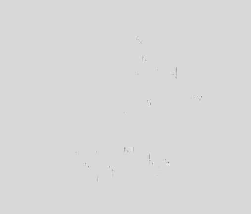 COC(=O)c1c(C)[nH]c2c(OC(=O)N3CCN(C)CC3)cc3c(c12)CCN3C(=O)c1cc2cc(NC(=O)C(CCCNC(N)=O)NC(=O)C(NC(=O)OCC3c4ccccc4-c4ccccc43)C(C)C)ccc2o1